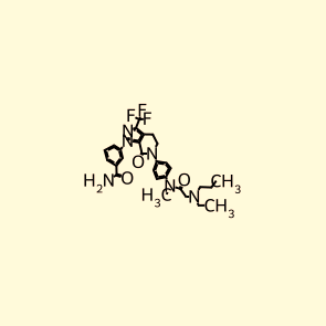 CCCN(CC)CC(=O)N(C)c1ccc(N2CCc3c(C(F)(F)F)nn(-c4cccc(C(N)=O)c4)c3C2=O)cc1